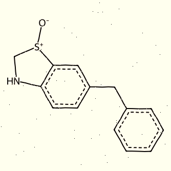 [O-][S+]1CNc2ccc(Cc3ccccc3)cc21